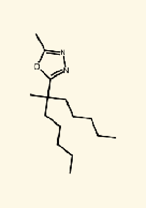 CCCCCC(C)(CCCCC)c1nnc(C)o1